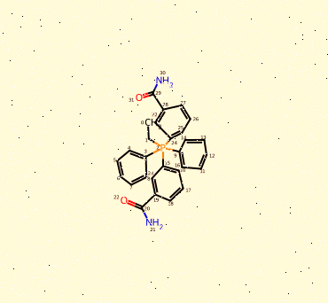 CCP(c1ccccc1)(c1ccccc1)(c1cccc(C(N)=O)c1)c1cccc(C(N)=O)c1